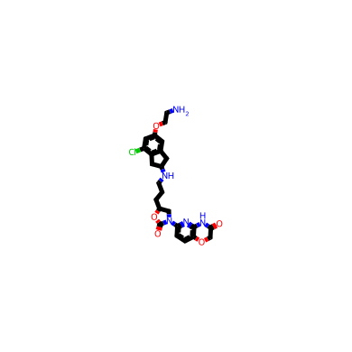 NCCOc1cc(Cl)c2c(c1)CC(NCCCC1CN(c3ccc4c(n3)NC(=O)CO4)C(=O)O1)C2